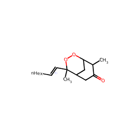 CCCCCC/C=C/C1(C)OOC2CC1CC(=O)C2C